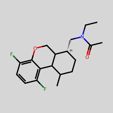 CCN(C[C@@H]1CCC(C)C2c3c(F)ccc(F)c3OCC21)C(C)=O